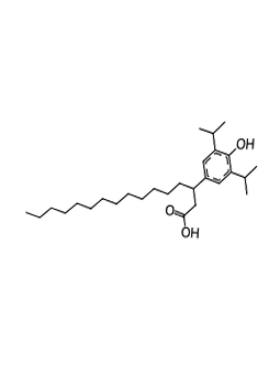 CCCCCCCCCCCCCC(CC(=O)O)c1cc(C(C)C)c(O)c(C(C)C)c1